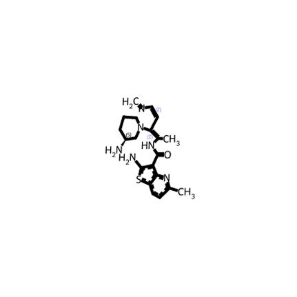 C=N/C=C\C(=C(/C)NC(=O)c1c(N)sc2ccc(C)nc12)N1CCC[C@H](N)C1